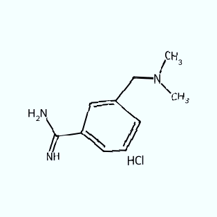 CN(C)Cc1cccc(C(=N)N)c1.Cl